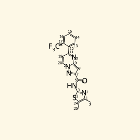 Cc1nc(NC(=O)c2cc3nc(-c4ccccc4C(F)(F)F)ccn3n2)sc1C